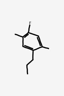 CCCc1cc(C)c(F)cc1C